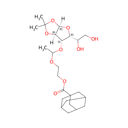 CC(OCCOC(=O)C12CC3CC(CC(C3)C1)C2)O[C@@H]1[C@H]2OC(C)(C)O[C@H]2O[C@@H]1C(O)CO